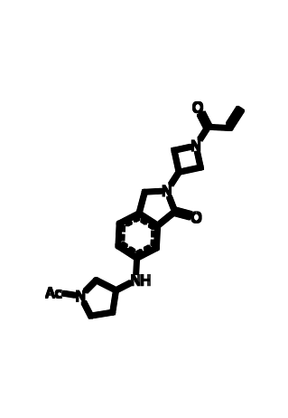 C=CC(=O)N1CC(N2Cc3ccc(NC4CCN(C(C)=O)C4)cc3C2=O)C1